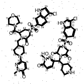 Cn1nc(C(C2CCNCC2)N2C(=O)CN(S(=O)(=O)c3ccc4c(Cl)c[nH]c4c3)CC2C(=O)O)ccc1=O.Cn1nc(N2CCC(CN3C(=O)CN(S(=O)(=O)c4ccc5c(Cl)c[nH]c5c4)CC3C(=O)N3CCOCC3)CC2)ccc1=O